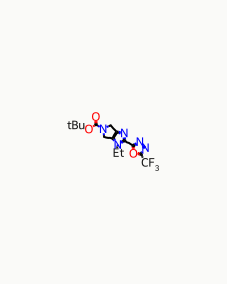 CCn1c(-c2nnc(C(F)(F)F)o2)nc2c1CN(C(=O)OC(C)(C)C)C2